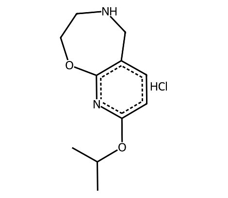 CC(C)Oc1ccc2c(n1)OCCNC2.Cl